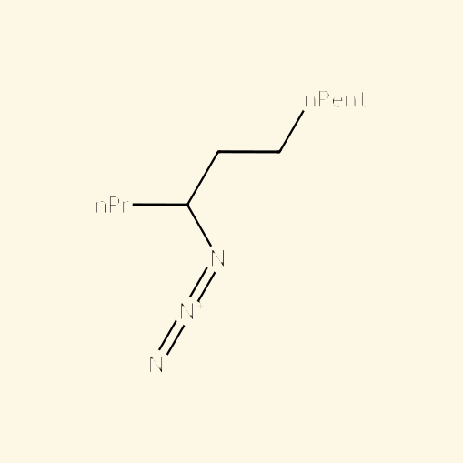 CCCCCCCC(CCC)N=[N+]=[N-]